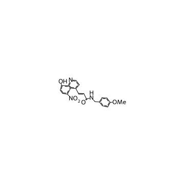 COc1ccc(CNC(=O)C=Cc2ccnc3c(O)ccc([N+](=O)[O-])c23)cc1